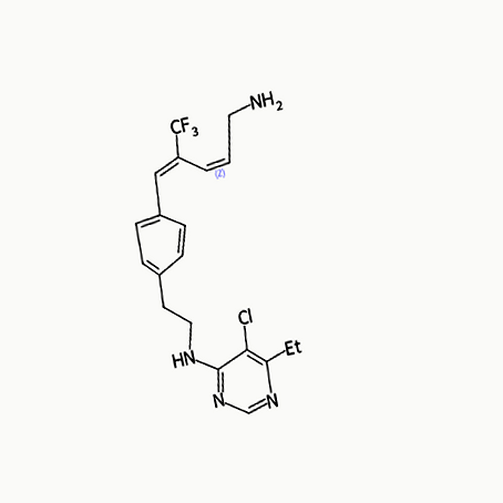 CCc1ncnc(NCCc2ccc(C=C(/C=C\CN)C(F)(F)F)cc2)c1Cl